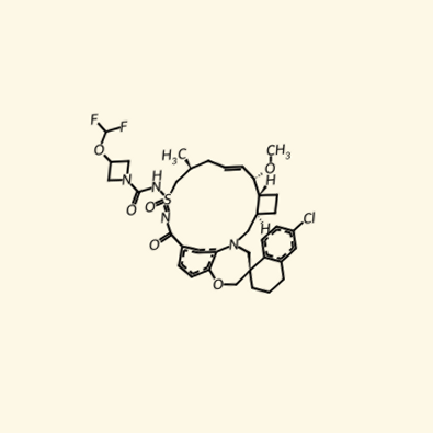 CO[C@H]1/C=C/C[C@H](C)CS(=O)(NC(=O)N2CC(OC(F)F)C2)=NC(=O)c2ccc3c(c2)N(C[C@@H]2CC[C@H]21)C[C@@]1(CCCc2cc(Cl)ccc21)CO3